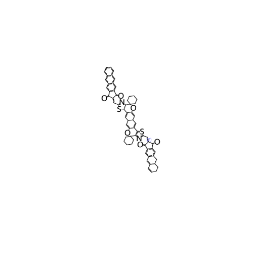 O=C1C(=CC2=NC3C(S2)C2=CC4C=C5OC6(CCCCC6)c6nc(/C=C7\C(=O)c8cc9c(cc8C7=O)CC7CCC=CC7=C9)sc6C5=CC4C=C2OC32CCCCC2)C(=O)c2cc3cc4ccccc4cc3cc21